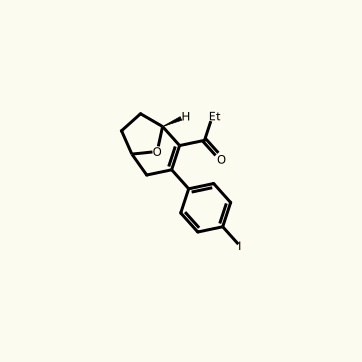 CCC(=O)C1=C(c2ccc(I)cc2)CC2CC[C@H]1O2